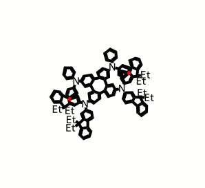 CCC1(CC)c2ccccc2-c2ccc(N(c3ccc4c(c3)-c3cc(N(c5ccccc5)c5ccccc5)ccc3-c3ccc(N(c5ccccc5)c5ccccc5)cc3-c3cc(N(c5ccc6c(c5)C(CC)(CC)c5ccccc5-6)c5ccc6c(c5)C(CC)(CC)c5ccccc5-6)ccc3-4)c3ccc4c(c3)C(CC)(CC)c3ccccc3-4)cc21